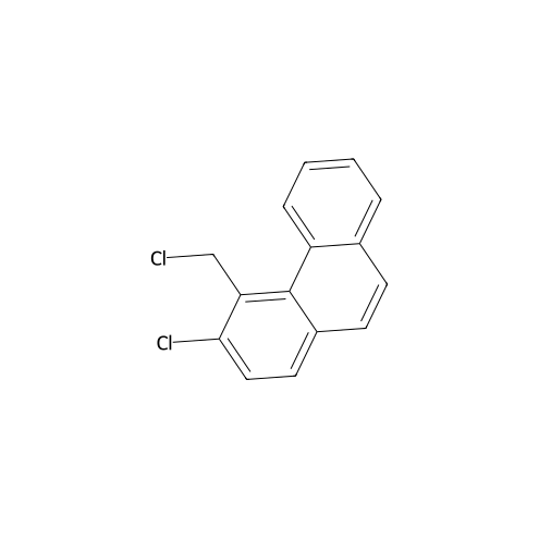 ClCc1c(Cl)ccc2ccc3ccccc3c12